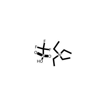 CC[N+](CC)(CC)CC.O=S(=O)(O)C(F)(F)F